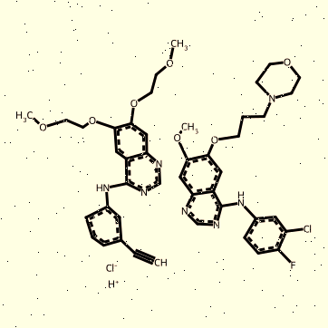 C#Cc1cccc(Nc2ncnc3cc(OCCOC)c(OCCOC)cc23)c1.COc1cc2ncnc(Nc3ccc(F)c(Cl)c3)c2cc1OCCCN1CCOCC1.[Cl-].[H+]